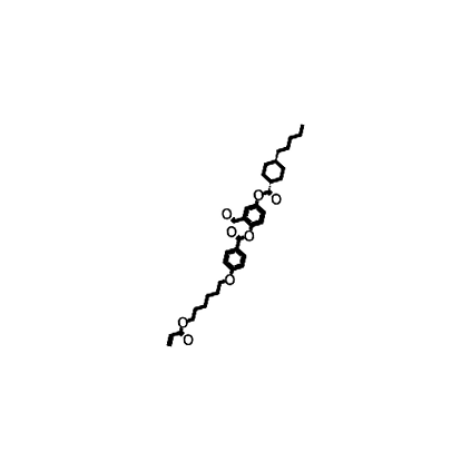 C=CC(=O)OCCCCCCOc1ccc(C(=O)Oc2ccc(OC(=O)[C@H]3CC[C@H](CCCCC)CC3)cc2C=O)cc1